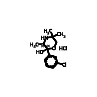 C[C@H]1NC(C)(C)CO[C@]1(O)c1cccc(Cl)c1.Cl